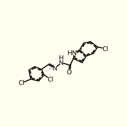 O=C(N/N=C/c1ccc(Cl)cc1Cl)c1cc2cc(Cl)ccc2[nH]1